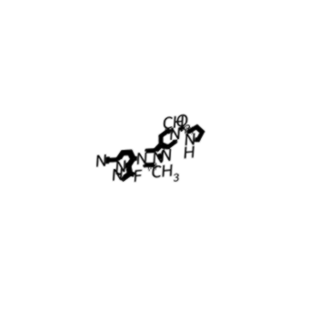 C[C@@H]1CN(c2ccc(C#N)n3ncc(F)c23)Cc2c3c(nn21)CN(C(=O)[C@@H]1CCCN1)[C@@H](C)C3